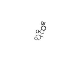 CC1(C2Cc3ccc(Br)cc3C2=O)CCOCC1